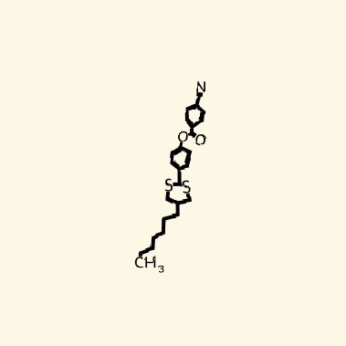 CCCCCCCC1CSC(c2ccc(OC(=O)c3ccc(C#N)cc3)cc2)SC1